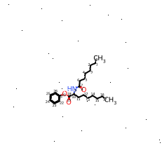 CCCCCCCC(=O)NC(CCCCCCC)C(=O)Oc1ccccc1